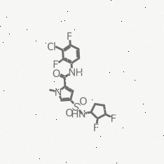 Cn1cc(S(=O)(=O)NC2CCC(F)C2F)cc1C(=O)Nc1ccc(F)c(Cl)c1F